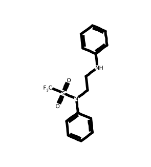 O=S(=O)(N(CCNc1ccccc1)c1ccccc1)C(F)(F)F